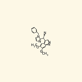 COc1cc2nncc(C(C#N)c3nccn3Cc3ccccc3)c2cc1OC